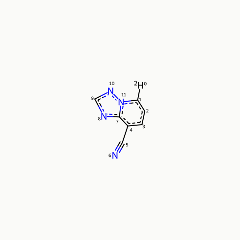 [2H]c1ccc(C#N)c2ncnn12